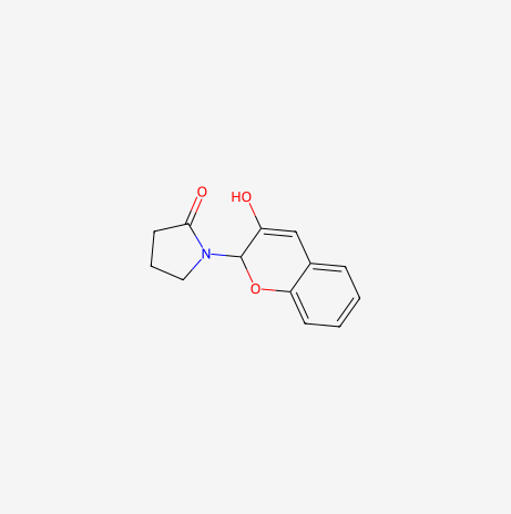 O=C1CCCN1C1Oc2ccccc2C=C1O